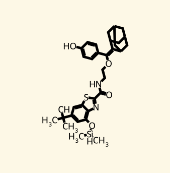 C[SiH](C)Oc1cc(C(C)(C)C)cc2sc(C(=O)NCCOC(=C3C4CC5CC(C4)CC3C5)c3ccc(O)cc3)nc12